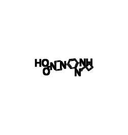 N#CC1(Nc2ccc(N3CCN(C(=O)O)CC3)cc2)CCC1